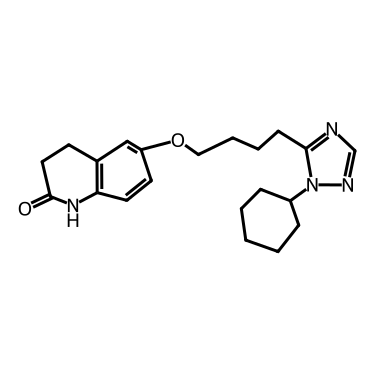 O=C1CCc2cc(OCCCCc3ncnn3C3CCCCC3)ccc2N1